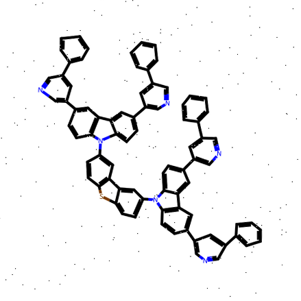 c1ccc(-c2cncc(-c3ccc4c(c3)c3cc(-c5cncc(-c6ccccc6)c5)ccc3n4-c3ccc4sc5ccc(-n6c7ccc(-c8cncc(-c9ccccc9)c8)cc7c7cc(-c8cncc(-c9ccccc9)c8)ccc76)cc5c4c3)c2)cc1